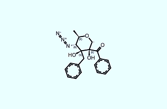 C[C@H]1O[CH][C@](O)(C(=O)c2ccccc2)[C@](O)(Cc2ccccc2)[C@@H]1N=[N+]=[N-]